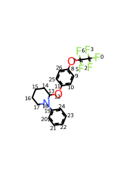 FC(F)(F)C(F)(F)Oc1ccc(OC2CCCCN2c2[c]cccc2)cc1